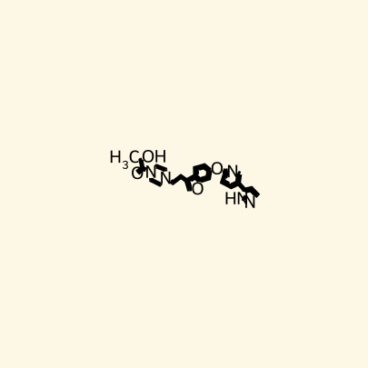 C[C@@H](O)C(=O)N1CCN(CCc2coc3cc(Oc4ccc(-c5ccn[nH]5)cn4)ccc23)CC1